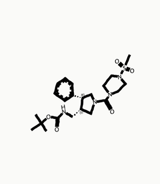 CC(C)(C)OC(=O)NC[C@H]1CN(C(=O)N2CCN(S(C)(=O)=O)CC2)C[C@H]1c1ccccc1